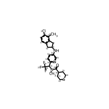 Cc1c(Cl)ccc2c1CC(Nc1ccc(C(N(C)C(=O)C3CCSCC3)C(F)(F)F)nc1)C2